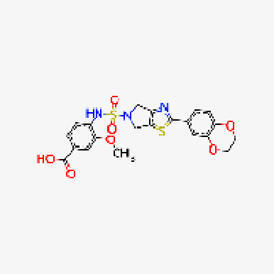 COc1cc(C(=O)O)ccc1NS(=O)(=O)N1Cc2nc(-c3ccc4c(c3)OCCO4)sc2C1